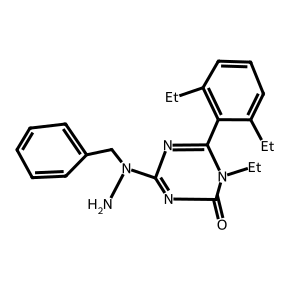 CCc1cccc(CC)c1-c1nc(N(N)Cc2ccccc2)nc(=O)n1CC